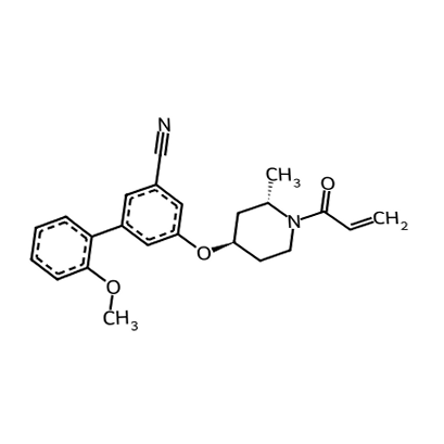 C=CC(=O)N1CC[C@@H](Oc2cc(C#N)cc(-c3ccccc3OC)c2)C[C@@H]1C